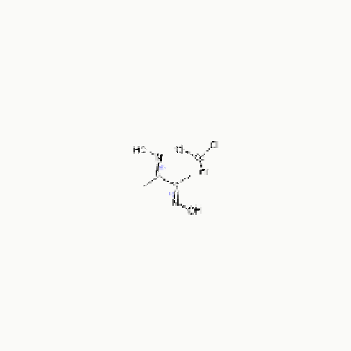 CC(=N\O)/C(C)=N/O.[Cl][Co]([Cl])[Cl]